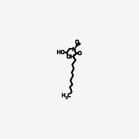 CCCCCCCCCCCC(=O)N(CC(O)O)C1CO1